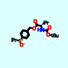 CC(C)[C@H](NC(=O)OC(C)(C)C)C(=O)OCc1ccc([S+]([O-])C(C)C)cc1